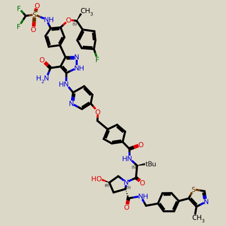 Cc1ncsc1-c1ccc(CNC(=O)[C@@H]2C[C@@H](O)CN2C(=O)[C@@H](NC(=O)c2ccc(COc3ccc(Nc4[nH]nc(-c5ccc(NS(=O)(=O)C(F)F)c(O[C@@H](C)c6ccc(F)cc6)c5)c4C(N)=O)nc3)cc2)C(C)(C)C)cc1